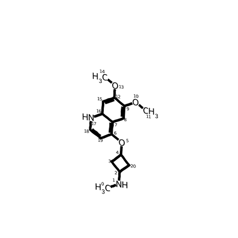 CNC1CC(OC2=C3C=C(OC)C(OC)=CC3NC=C2)C1